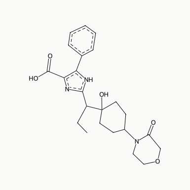 CCC(c1nc(C(=O)O)c(-c2ccccc2)[nH]1)C1(O)CCC(N2CCOCC2=O)CC1